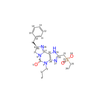 CCCN1C(=O)N2C[C@@H](Cc3ccccc3)N=C2c2[nH]c(CS(=O)(=O)CC)nc21